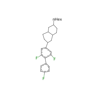 CCCCCCC1CCC2CC(c3cc(F)c(-c4ccc(F)cc4)c(F)c3)CCC2C1